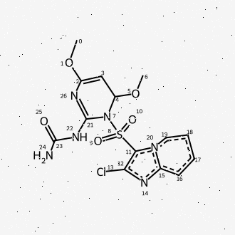 COC1=CC(OC)N(S(=O)(=O)c2c(Cl)nc3ccccn23)C(NC(N)=O)=N1